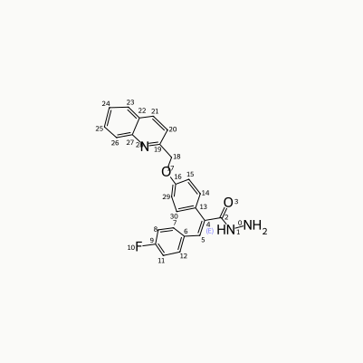 NNC(=O)/C(=C/c1ccc(F)cc1)c1ccc(OCc2ccc3ccccc3n2)cc1